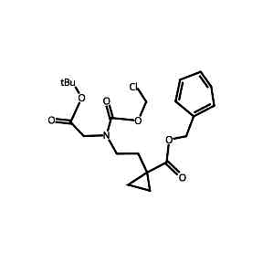 CC(C)(C)OC(=O)CN(CCC1(C(=O)OCc2ccccc2)CC1)C(=O)OCCl